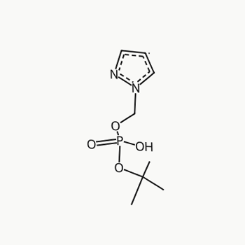 CC(C)(C)OP(=O)(O)OCn1c[c]cn1